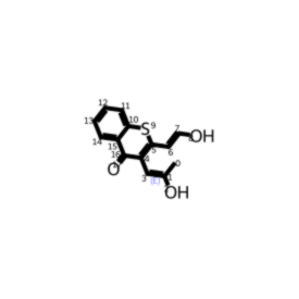 C/C(O)=C\c1c(C=CO)sc2ccccc2c1=O